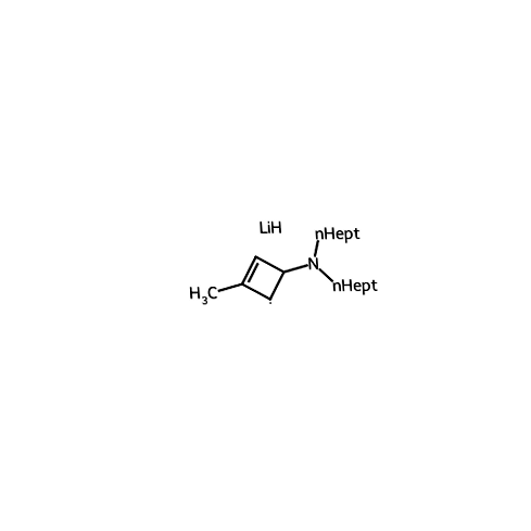 CCCCCCCN(CCCCCCC)C1[CH]C(C)=C1.[LiH]